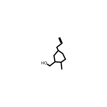 C=CCC1CCC(C)C(CO)C1